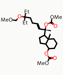 CCC(CC)(CC/C=C/[C@](C)(OC(=O)OC)C1CCC2C(OC(=O)OC)CCCC21C)OCOC